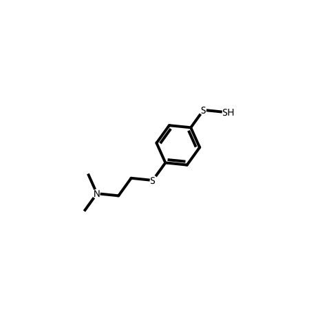 CN(C)CCSc1ccc(SS)cc1